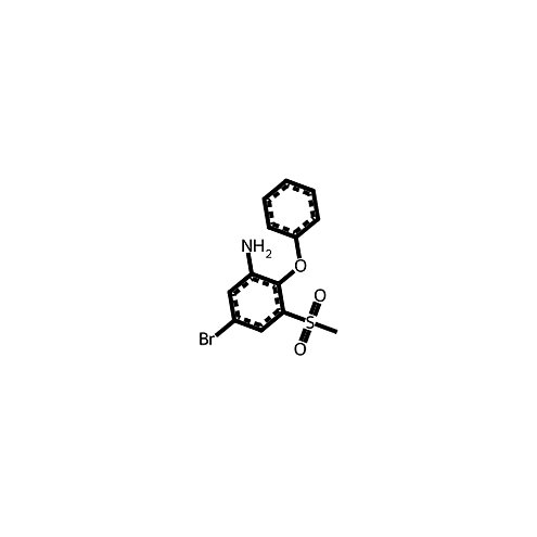 CS(=O)(=O)c1cc(Br)cc(N)c1Oc1ccccc1